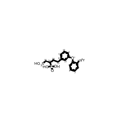 CCCc1ccccc1Oc1cccc(CCC(CS(=O)(=O)O)P(=O)(O)O)c1